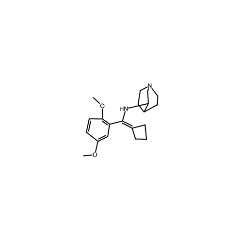 COc1ccc(OC)c(C(NC2CN3CCC2CC3)=C2CCC2)c1